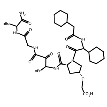 CCCCC(NC(=O)CNC(=O)C(=O)C(CCC)NC(=O)[C@@H]1C[C@@H](OCC(=O)O)CN1C(=O)C(NC(=O)CC1CCCCC1)C1CCCCC1)C(N)=O